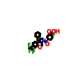 CC(F)(c1ccc2c(c1)OCC1N(C(=O)[C@H]3CC[C@](F)(C(=O)O)CC3)CCC21Cc1ccccc1)C(F)(F)F